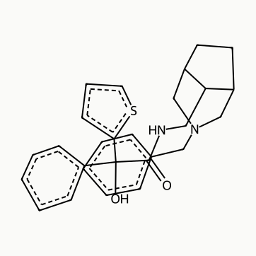 O=C(NCC1C2CCC1CN(Cc1ccccc1)C2)C(O)(c1ccccc1)c1cccs1